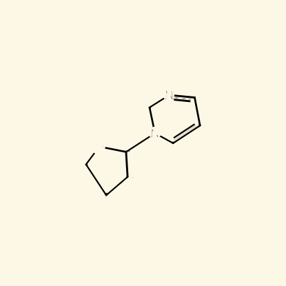 C1=CN(C2CCCO2)CN=C1